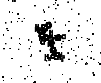 Cc1ccccc1CNc1c(C#N)cnc2c(Cl)cc(NC(c3ccc(Cl)cc3)c3cn(C4CCN(C(C)(C)C)CC4)nn3)cc12